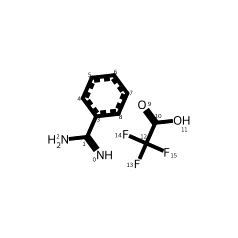 N=C(N)c1ccccc1.O=C(O)C(F)(F)F